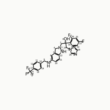 OC(CN1Cc2cc(NCc3ccc(C(F)(F)F)cc3)ccc2N1)(Cn1cncn1)c1ccc(F)cc1F